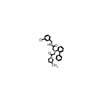 CC1CCN(C(=O)CN(CC(=O)NCc2cccc(Cl)c2)c2ccccc2-c2ccccc2)C1